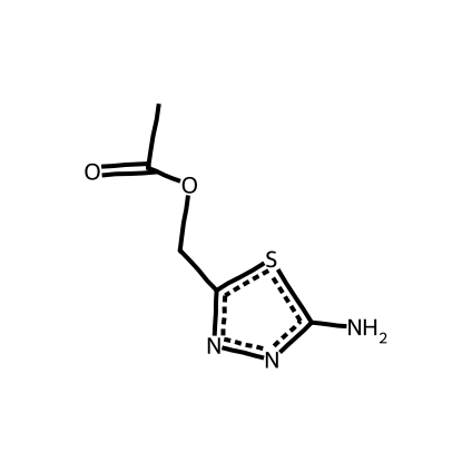 CC(=O)OCc1nnc(N)s1